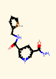 NC(=O)c1cncc(C(=O)NCc2cccs2)c1